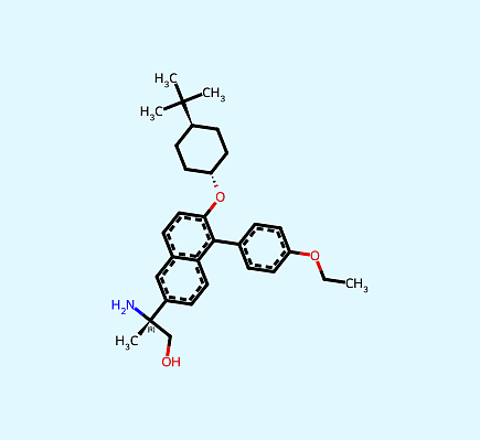 CCOc1ccc(-c2c(O[C@H]3CC[C@H](C(C)(C)C)CC3)ccc3cc([C@@](C)(N)CO)ccc23)cc1